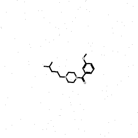 COc1cccc(C(=O)N2CCN(CCCC(C)C)CC2)c1